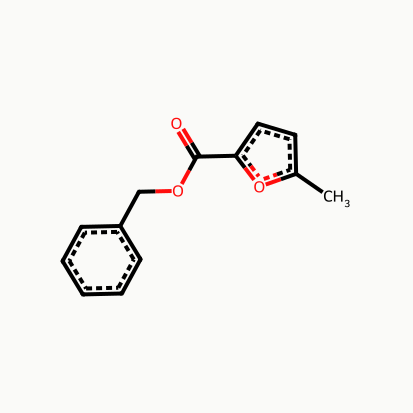 Cc1ccc(C(=O)OCc2ccccc2)o1